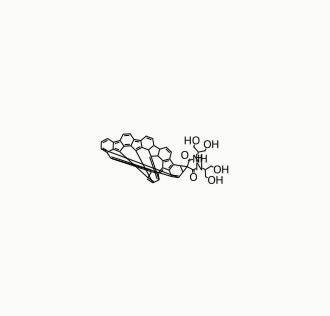 O=C(NC(CO)CO)C1(C(=O)NC(CO)CO)C2c3c4c5c6c3c3c(c7ccc8c9ccc%10c%11c%12c%13c%14c(c6c6c3c7c8c(c9c%10%13)c%146)=C3C5C(C=C4)C(C=C%11)C3%12)C21